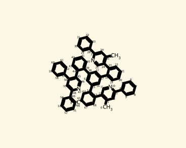 Cc1cc(-c2ccccc2)ncc1C1=C(c2cc(-c3ccccc3-c3cnc(-c4ccccc4)cc3C)cc(-c3ccccc3-c3cnc(-c4ccccc4)cc3-c3ccccc3)c2)CC(C)C=C1